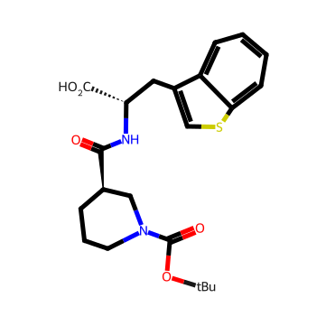 CC(C)(C)OC(=O)N1CCC[C@@H](C(=O)N[C@@H](Cc2csc3ccccc23)C(=O)O)C1